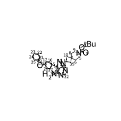 CC(C)(C)OC(=O)N1CCC2(CC1)CC(n1nc(-c3ccc(Oc4ccccc4)cc3)c3c(N)ncnc31)C2